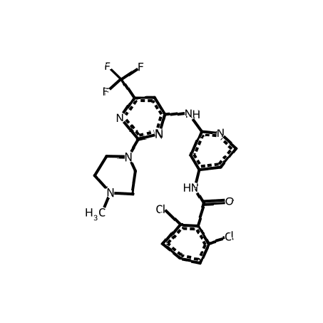 CN1CCN(c2nc(Nc3cc(NC(=O)c4c(Cl)cccc4Cl)ccn3)cc(C(F)(F)F)n2)CC1